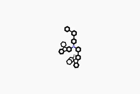 CCC1CC2CCCC(C2)C12c1ccccc1-c1ccc(-c3cccc(N(c4ccc(-c5cccc(-c6ccccc6)c5)cc4)c4ccc5c(c4)C4(CCCCC4)c4ccccc4-5)c3)cc12